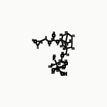 O=C(OCC1CO1)OC12CC3CC(CC(COC(=O)C(F)(F)S(=O)(=O)O)(C3)C1)C2